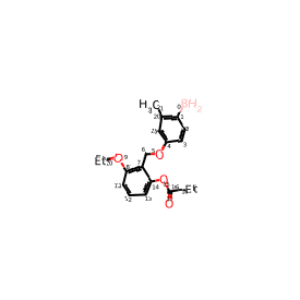 Bc1ccc(OCc2c(OCC)cccc2OC(=O)CC)cc1C